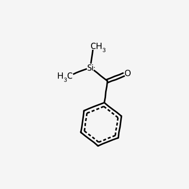 C[Si](C)C(=O)c1ccccc1